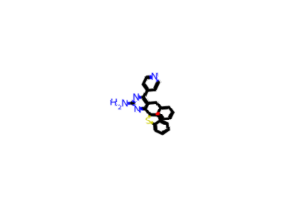 Nc1nc(-c2ccncc2)c(Cc2ccccc2)c(-c2cc3ccccc3s2)n1